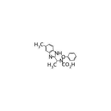 Cc1ccc2[nH]c(C(C)N(Oc3ccccc3)C(=O)O)nc2c1